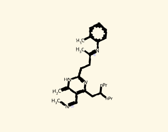 C=C1NC(CC/C(C)=N/c2ccccc2C)=NC(CC(CCC)CCC)=C1/C=N\C